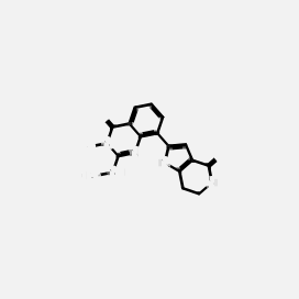 Cn1c(NC(C)(C)C)nc2c(-c3cc4c([nH]3)CCNC4=O)cccc2c1=O